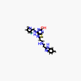 Cc1ccc2nc(CCNCCc3nc4c(NCc5ncccc5F)nc(O)nc4s3)[nH]c2c1